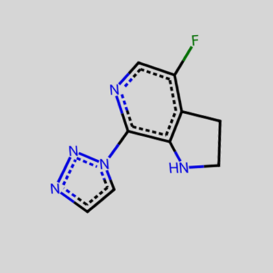 Fc1cnc(-n2ccnn2)c2c1CCN2